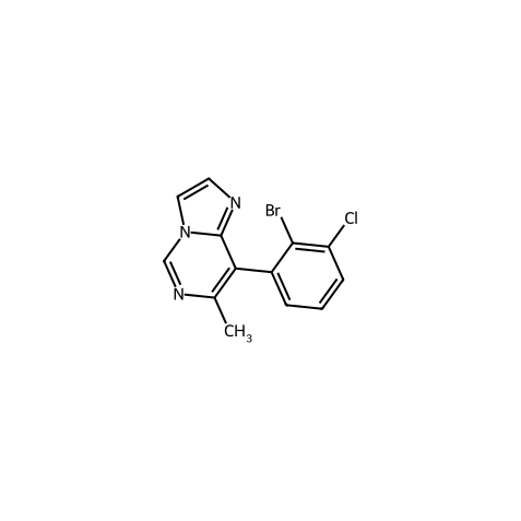 Cc1ncn2ccnc2c1-c1cccc(Cl)c1Br